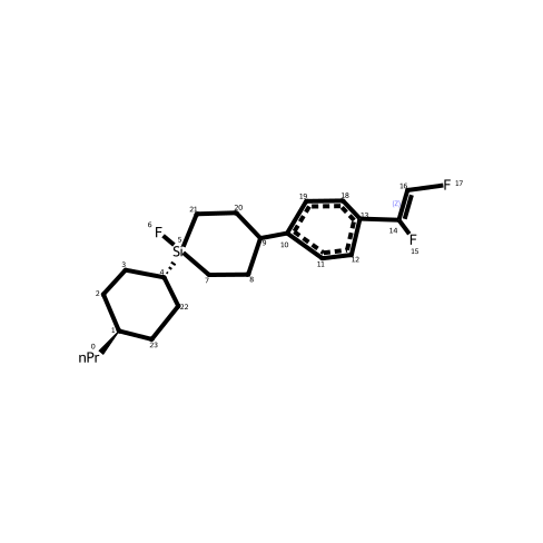 CCC[C@H]1CC[C@H]([Si]2(F)CCC(c3ccc(/C(F)=C/F)cc3)CC2)CC1